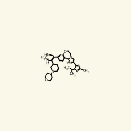 CN/C(=C(\C=N)c1ccc2c(c1)OCCN1C=C(c3nc(C)nn3C(C)C)NC21)C1CCCN(C2CCOCC2)C1